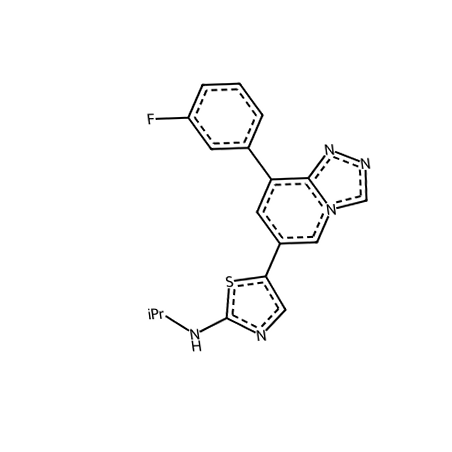 CC(C)Nc1ncc(-c2cc(-c3cccc(F)c3)c3nncn3c2)s1